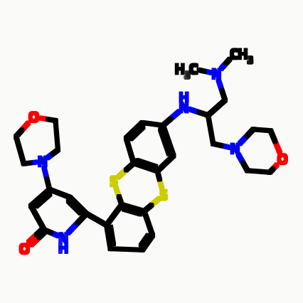 CN(C)CC(CN1CCOCC1)Nc1ccc2c(c1)Sc1cccc(-c3cc(N4CCOCC4)cc(=O)[nH]3)c1S2